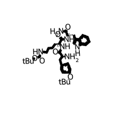 CC(C)(C)OC(=O)NCCCC[C@H](NC(=O)[C@@H](N)Cc1ccc(OC(C)(C)C)cc1)C(=O)N[C@@H](Cc1c[nH]c2ccccc12)C(N)=O